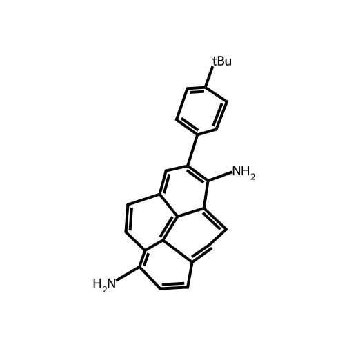 CC(C)(C)c1ccc(-c2cc3ccc4c(N)ccc5ccc(c2N)c3c54)cc1